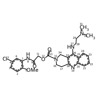 COc1ccc(Cl)cc1NC(=O)COC(=O)N1CCc2nc3ccccc3c(NCCN(C)C)c2C1